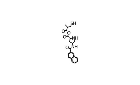 CC(CS)C(=O)OC(=O)[C@@H]1C[C@H](NC(=O)c2ccc3ccccc3c2)CN1